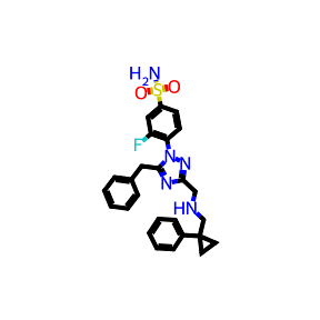 NS(=O)(=O)c1ccc(-n2nc(CNCC3(c4ccccc4)CC3)nc2Cc2ccccc2)c(F)c1